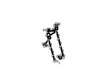 COCCOCCOCCOCCOCCN(CCCS(=O)(=O)O)c1ccc2c(c1)OC=CC=C2/C=C/C=C1/N(CCOCCOCCOCCOCCOCCC(=O)ON2C(=O)CCC2=O)c2ccc(S(=O)(=O)O)cc2C1(C)CCCS(=O)(=O)O